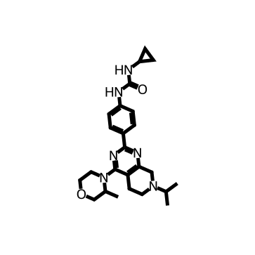 CC(C)N1CCc2c(nc(-c3ccc(NC(=O)NC4CC4)cc3)nc2N2CCOCC2C)C1